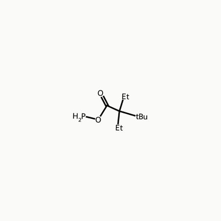 CCC(CC)(C(=O)OP)C(C)(C)C